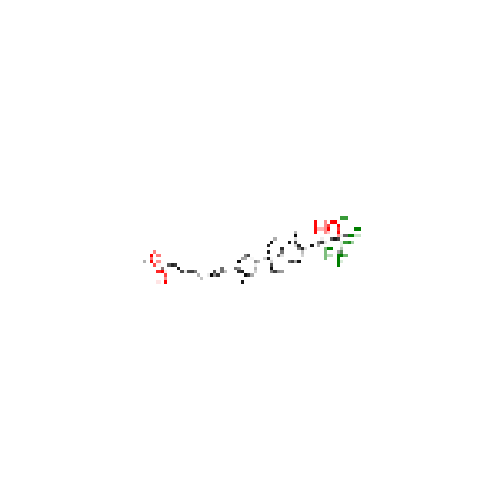 CCC(CC)(c1ccc(C#CCCCCC(=O)OC)c(C)c1)c1ccc(C#CC(O)(C(F)(F)F)C(F)(F)F)c(C)c1